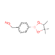 CC1OB(c2ccc(CO)cc2)OC1(C)C